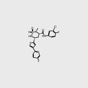 CN1[C@@H](C(=O)Nc2ccc(F)c(Cl)c2)C[C@@H](c2cc(-c3ccc(F)cn3)cs2)NS1(=O)=O